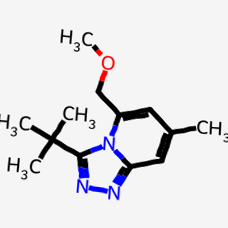 COCc1cc(C)cc2nnc(C(C)(C)C)n12